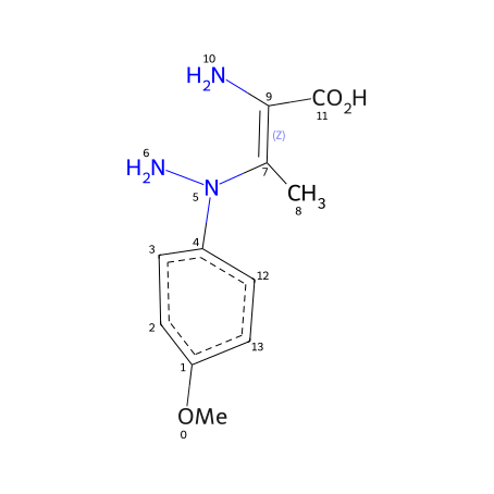 COc1ccc(N(N)/C(C)=C(\N)C(=O)O)cc1